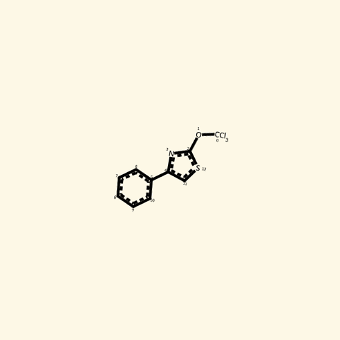 ClC(Cl)(Cl)Oc1nc(-c2cc[c]cc2)cs1